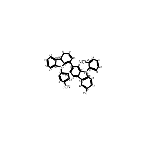 N#Cc1ccc(N2C3=C(c4ccc5c6cc(I)ccc6n(-c6ccccc6C#N)c5c4)C=CCC3c3ccccc32)cc1